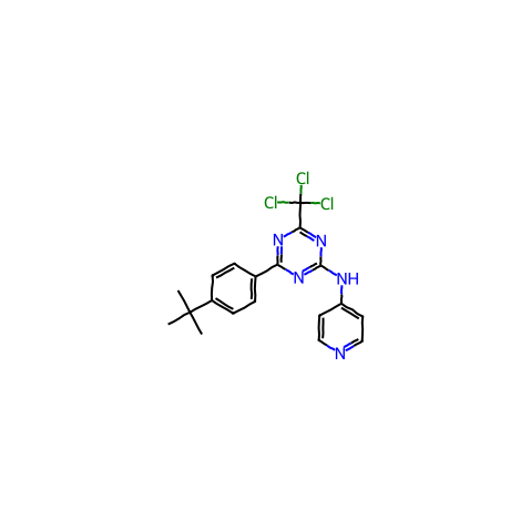 CC(C)(C)c1ccc(-c2nc(Nc3ccncc3)nc(C(Cl)(Cl)Cl)n2)cc1